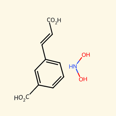 O=C(O)C=Cc1cccc(C(=O)O)c1.ONO